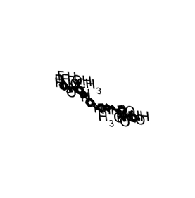 Cn1c(=O)n(C2CCC(=O)NC2=O)c2cccc(NCC3CC4(CCN(C[C@H]5CC[C@H](n6cc7cc(NC(=O)c8cccc(C(F)(F)F)n8)c(C(C)(C)O)cc7n6)CC5)CC4)C3)c21